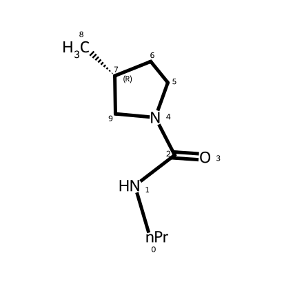 CCCNC(=O)N1CC[C@@H](C)C1